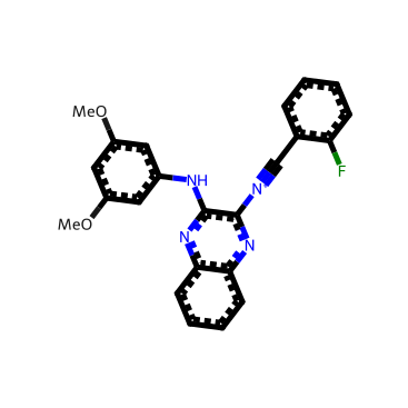 COc1cc(Nc2nc3ccccc3nc2[N+]#Cc2ccccc2F)cc(OC)c1